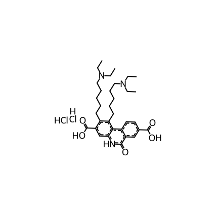 CCN(CC)CCCCCc1c(C(=O)O)cc2[nH]c(=O)c3cc(C(=O)O)ccc3c2c1CCCCCN(CC)CC.Cl.Cl